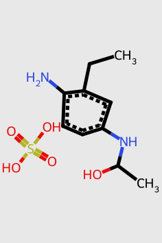 CCc1cc(NC(C)O)ccc1N.O=S(=O)(O)O